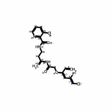 C=C/C(=C\C(F)=C\Cl)OCC(=O)NC(=C)CCNC(=O)c1ncccc1Cl